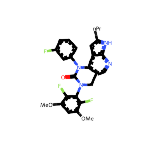 CCCc1cc2c3c(cnc2[nH]1)CN(c1c(F)c(OC)cc(OC)c1F)C(=O)N3c1cccc(F)c1